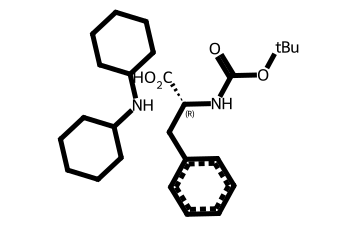 C1CCC(NC2CCCCC2)CC1.CC(C)(C)OC(=O)N[C@H](Cc1ccccc1)C(=O)O